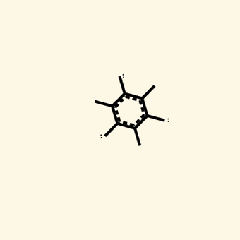 [CH]c1c(C)c([CH])c(C)c([CH])c1C